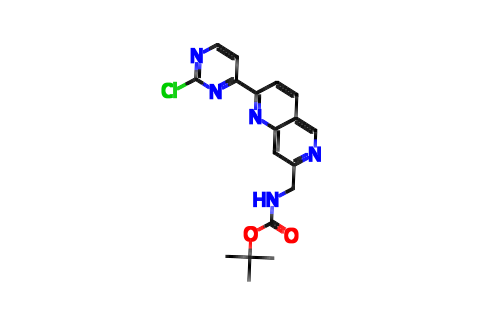 CC(C)(C)OC(=O)NCc1cc2nc(-c3ccnc(Cl)n3)ccc2cn1